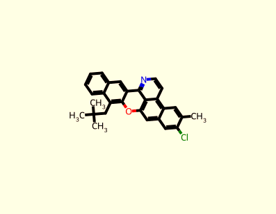 Cc1cc2c(cc1Cl)cc1c3c(nccc32)-c2cc3ccccc3c(CC(C)(C)C)c2O1